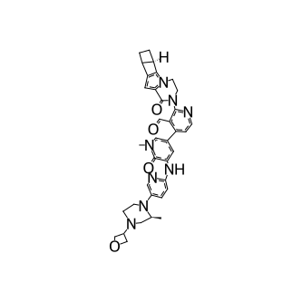 C[C@H]1CN(C2COC2)CCN1c1ccc(Nc2cc(-c3ccnc(N4CCn5c(cc6c5[C@@H]5CCC65)C4=O)c3C=O)cn(C)c2=O)nc1